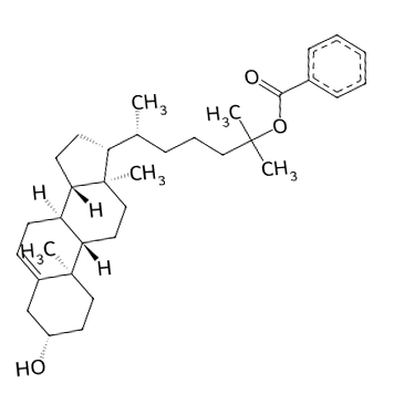 C[C@H](CCCC(C)(C)OC(=O)c1ccccc1)[C@H]1CC[C@H]2[C@@H]3CC=C4C[C@@H](O)CC[C@]4(C)[C@H]3CC[C@]12C